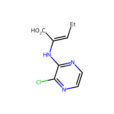 CCC=C(Nc1nccnc1Cl)C(=O)O